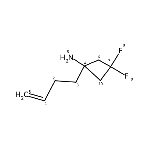 C=CCCC1(N)CC(F)(F)C1